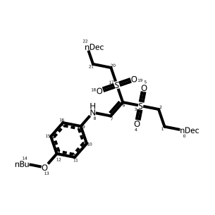 CCCCCCCCCCCCS(=O)(=O)C(=CNc1ccc(OCCCC)cc1)S(=O)(=O)CCCCCCCCCCCC